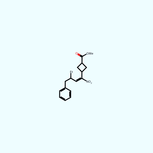 CCC(C=C(C1CC(C(=O)OC)C1)[N+](=O)[O-])Cc1ccccc1